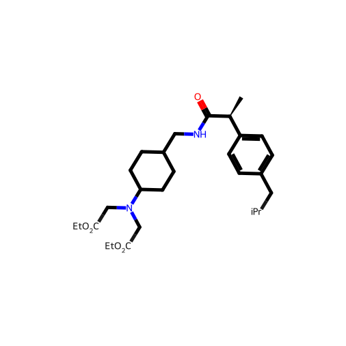 CCOC(=O)CN(CC(=O)OCC)C1CCC(CNC(=O)[C@@H](C)c2ccc(CC(C)C)cc2)CC1